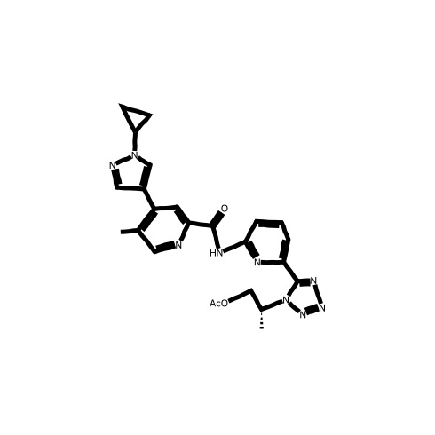 CC(=O)OC[C@@H](C)n1nnnc1-c1cccc(NC(=O)c2cc(-c3cnn(C4CC4)c3)c(C)cn2)n1